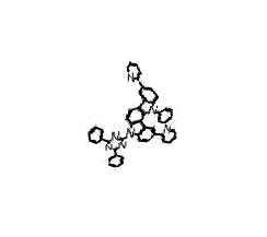 c1ccc(-c2nc(-c3ccccc3)nc(-n3c4ccc(-c5ccccn5)cc4c4c3ccc3c5cc(-c6ccccn6)ccc5n(-c5ccccc5)c34)n2)cc1